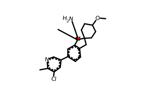 COC1CCC2(CC1)Cc1ccc(-c3cnc(C)c(Cl)c3)cc1C21N=C(C)C(N)=N1